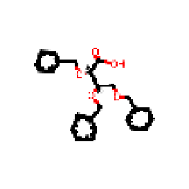 O=C(O)[C@@H](OCc1ccccc1)[C@@H](COCc1ccccc1)OCc1ccccc1